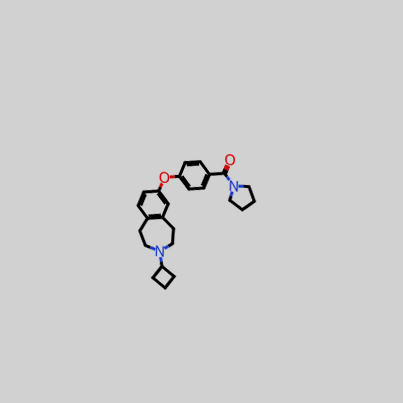 O=C(c1ccc(Oc2ccc3c(c2)CCN(C2CCC2)CC3)cc1)N1CCCC1